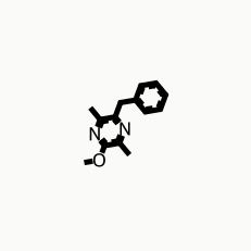 COc1nc(C)c(Cc2ccccc2)nc1C